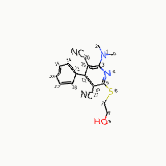 CN(C)c1nc(SCCO)c(C#N)c(-c2ccccc2)c1C#N